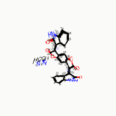 C#N.C#N.O=C1Nc2ccccc2/C1=C1/C(=O)Oc2cc3c(cc21)OC(=O)/C3=C1\C(=O)Nc2ccccc21